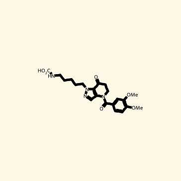 COc1ccc(C(=O)N2CCC(=O)c3c2cnn3CCCCCNC(=O)O)cc1OC